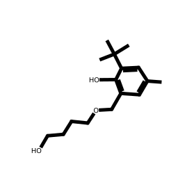 Cc1cc(COCCCCO)c(O)c(C(C)(C)C)c1